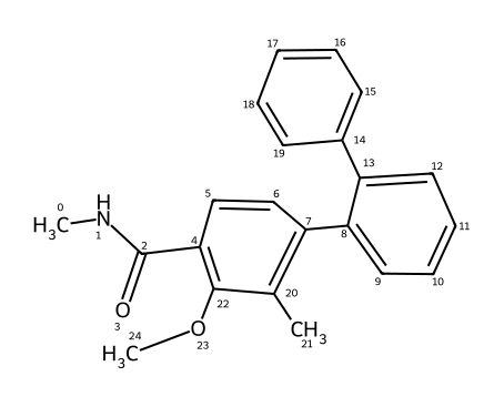 CNC(=O)c1ccc(-c2ccccc2-c2ccccc2)c(C)c1OC